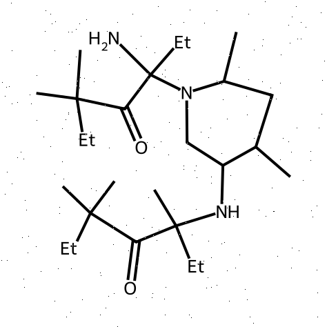 CCC(C)(C)C(=O)C(C)(CC)NC1CN(C(N)(CC)C(=O)C(C)(C)CC)C(C)CC1C